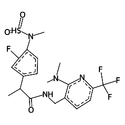 CC(C(=O)NCc1ccc(C(F)(F)F)nc1N(C)C)c1ccc(N(C)[SH](=O)=O)c(F)c1